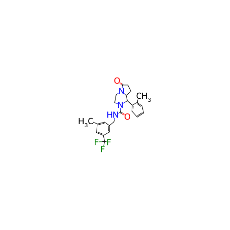 Cc1cc(CNC(=O)N2CCN3C(=O)CCC3C2c2ccccc2C)cc(C(F)(F)F)c1